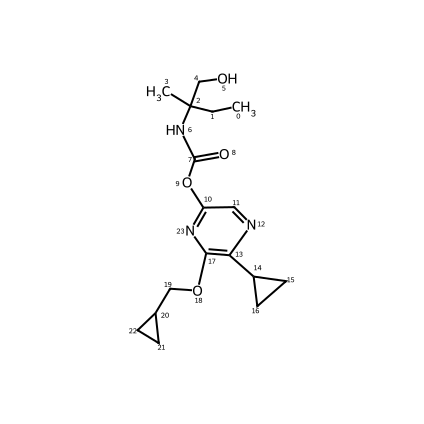 CCC(C)(CO)NC(=O)Oc1cnc(C2CC2)c(OCC2CC2)n1